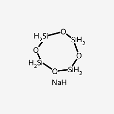 O1[SiH2]O[SiH2]O[SiH2]O[SiH2]1.[NaH]